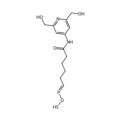 O=C(CCCCC=POS)Nc1cc(CO)nc(CO)c1